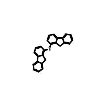 c1ccc2c(c1)Cc1[c]([Ti][c]3cccc4c3Cc3ccccc3-4)cccc1-2